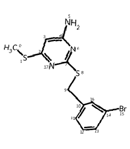 CSc1cc(N)nc(SCc2cccc(Br)c2)n1